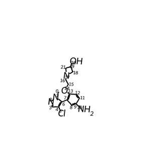 Cn1ncc(Cl)c1-c1cc(N)ccc1OCCN1CC(O)C1